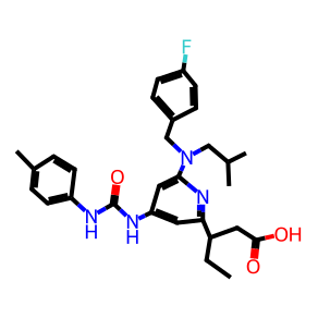 CCC(CC(=O)O)c1cc(NC(=O)Nc2ccc(C)cc2)cc(N(Cc2ccc(F)cc2)CC(C)C)n1